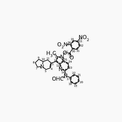 Cc1c(C2=CCN3CCCC3C2)c2nc(N(C=O)c3ccccc3)ccc2n1OC(=O)c1ccc([N+](=O)[O-])cc1[N+](=O)[O-]